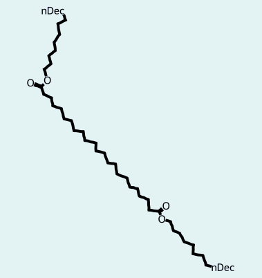 CCCCCCCCCCCCCCCCCCOC(=O)CCCCCCCCCCCCCCCCCCCCCC(=O)OCCCCCCCCCCCCCCCCCC